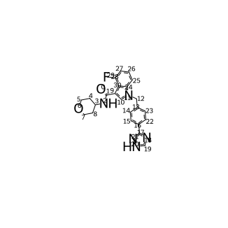 O=C(NC1CCOCC1)c1cn(Cc2ccc(-c3nc[nH]n3)cc2)c2cccc(F)c12